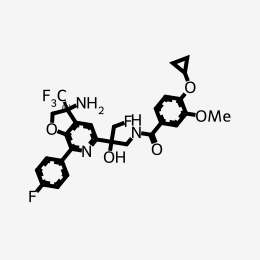 COc1cc(C(=O)NCC(O)(CF)c2cc3c(c(-c4ccc(F)cc4)n2)OC[C@@]3(N)C(F)(F)F)ccc1OC1CC1